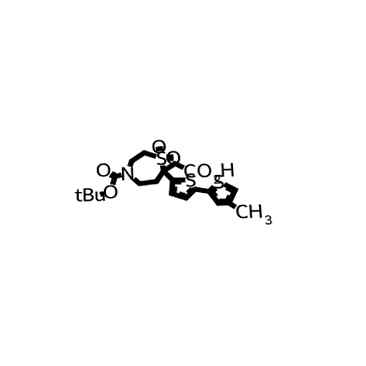 Cc1csc(-c2ccc(C3(CC(=O)O)CCN(C(=O)OC(C)(C)C)CCS3(=O)=O)s2)c1